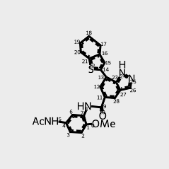 COc1ccc(NC(C)=O)cc1NC(=O)c1cc(-c2cc3ccccc3s2)c2[nH]ncc2c1